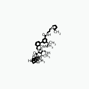 C=C1CCCN1CCCNC(=O)c1cc(-c2cccc(CN3O[C@@H](CO)[C@@H]([C@H](C)O)[C@H]3C(=O)N[C@H]3C[C@H]4C[C@@H]([C@@H]3C)C4(C)C)c2OC)cc(N(C)C)c1